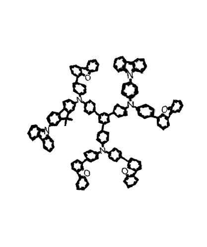 CC1(C)c2cc(N(c3ccc(-c4cc(-c5ccc(N(c6ccc(-c7cccc8c7oc7ccccc78)cc6)c6ccc(-c7cccc8c7oc7ccccc78)cc6)cc5)cc(-c5ccc(N(c6ccc(-c7cccc8c7oc7ccccc78)cc6)c6ccc(-n7c8ccccc8c8ccccc87)cc6)cc5)c4)cc3)c3ccc(-c4cccc5c4oc4ccccc45)cc3)ccc2-c2ccc(-n3c4ccccc4c4ccccc43)cc21